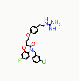 N=C(N)NCCc1ccc(OCCC2Oc3cc(F)ccc3N(Cc3cccc(Cl)c3)C2=O)cc1